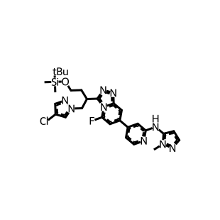 Cn1nccc1Nc1cc(-c2cc(F)n3c(C(CCO[Si](C)(C)C(C)(C)C)Cn4cc(Cl)cn4)nnc3c2)ccn1